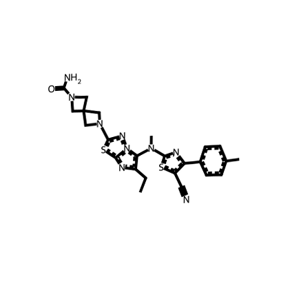 CCc1nc2sc(N3CC4(CN(C(N)=O)C4)C3)nn2c1N(C)c1nc(-c2ccc(C)cc2)c(C#N)s1